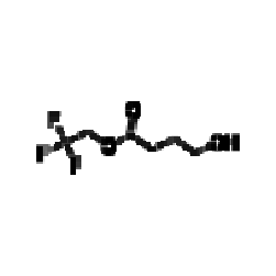 O=C(CCCO)OCC(F)(F)F